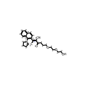 N#C/C(C(=O)CCCOCCOCCO)=C(\c1ccc2ccccc2c1N1CCCC1)C(F)(F)F